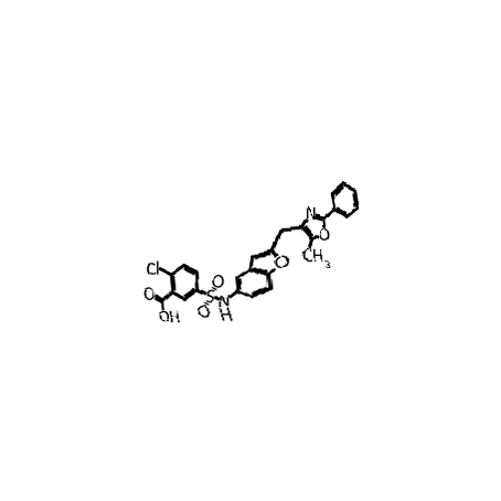 Cc1oc(-c2ccccc2)nc1Cc1cc2cc(NS(=O)(=O)c3ccc(Cl)c(C(=O)O)c3)ccc2o1